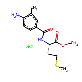 COC(=O)[C@H](CCSC)NC(=O)c1ccc(N)c(C)c1.Cl